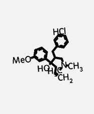 C=CCC(O)(c1cccc(OC)c1)C(Cc1ccccc1)CN(C)C.Cl